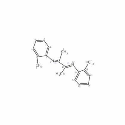 CC(=N\c1ccccc1C(F)(F)F)/C(C)=N/c1ccccc1C(F)(F)F